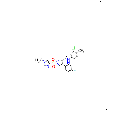 Cn1cnc(S(=O)(=O)N2CC(CNc3ccc(C(F)(F)F)c(Cl)c3)C(c3ccc(F)cc3)C2)c1